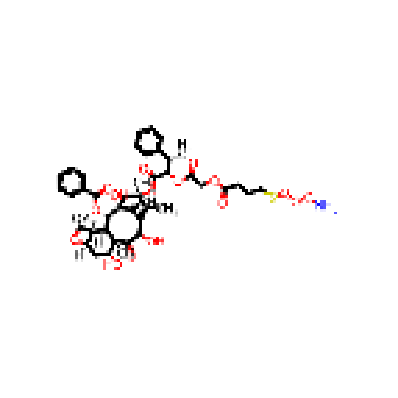 CC(=O)O[C@@]12CO[C@@H]1C[C@H](O)[C@@]1(C)C(=O)[C@H](O)C3=C(C)[C@@](C)(OC(=O)[C@H](OC(=O)COC(=O)CCCSOOON)[C@@H](C)c4ccccc4)C[C@](O)([C@@H](OC(=O)c4ccccc4)[C@H]21)C3(C)C